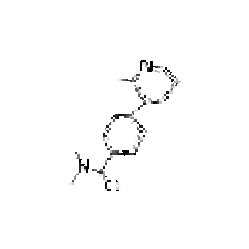 Cc1ncccc1-c1ccc(C(=O)N(C)C)cc1